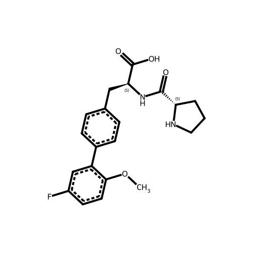 COc1ccc(F)cc1-c1ccc(C[C@H](NC(=O)[C@@H]2CCCN2)C(=O)O)cc1